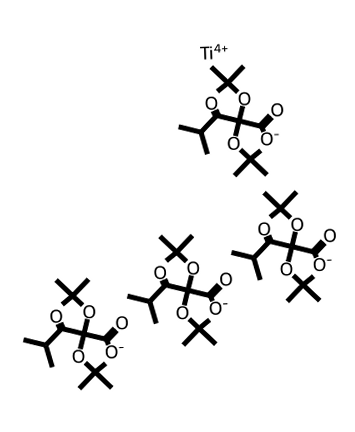 CC(C)C(=O)C(OC(C)(C)C)(OC(C)(C)C)C(=O)[O-].CC(C)C(=O)C(OC(C)(C)C)(OC(C)(C)C)C(=O)[O-].CC(C)C(=O)C(OC(C)(C)C)(OC(C)(C)C)C(=O)[O-].CC(C)C(=O)C(OC(C)(C)C)(OC(C)(C)C)C(=O)[O-].[Ti+4]